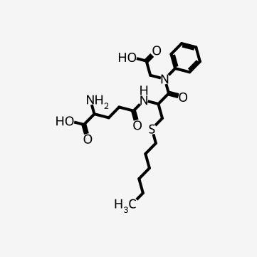 CCCCCCSCC(NC(=O)CCC(N)C(=O)O)C(=O)N(CC(=O)O)c1ccccc1